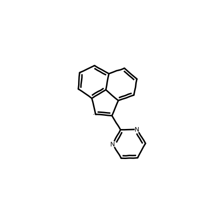 [C]1=C(c2ncccn2)c2cccc3cccc1c23